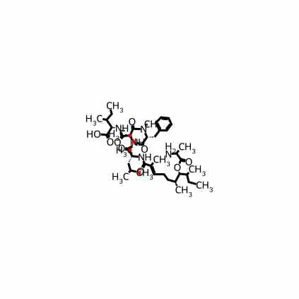 CCC(C)[C@H](NC(=O)CN(C)C(=O)[C@@H](Cc1ccccc1)N(C)C(=O)[C@@H](C)NC(=O)[C@@H](CC(C)C)NC(=O)/C(C)=C/CC[C@H](C)[C@H](OC(=O)C(C)N)C(C)CC)C(=O)O